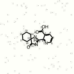 O=C(O)c1cccnc1C1=NC(=O)C2(CCCCC2)N1